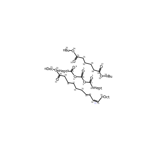 CCCCCCCC(=O)OC(=O)OC(=O)CCCCCCC.CCCCCCCC/C=C\CCCCCCCC(=O)OCCCCCCCCCC.CCCCOC(=O)CCCCC(=O)OCCCC